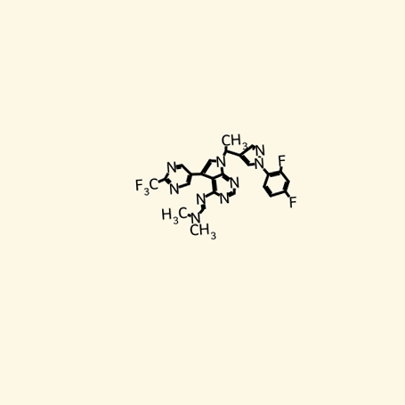 CC(c1cnn(-c2ccc(F)cc2F)c1)n1cc(-c2cnc(C(F)(F)F)nc2)c2c(/N=C/N(C)C)ncnc21